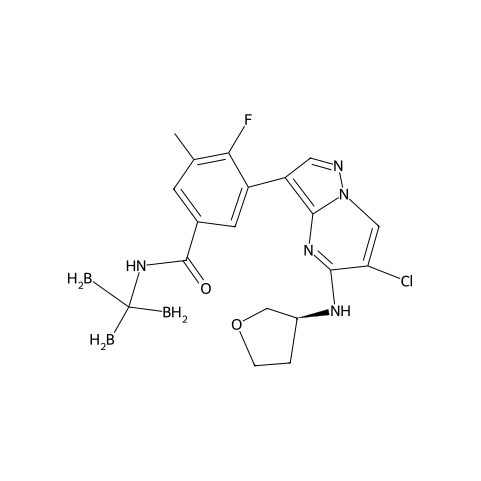 BC(B)(B)NC(=O)c1cc(C)c(F)c(-c2cnn3cc(Cl)c(N[C@H]4CCOC4)nc23)c1